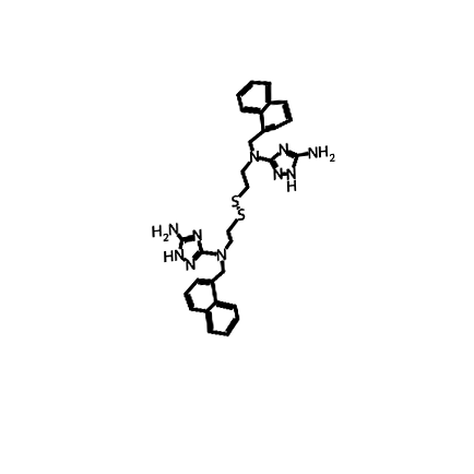 Nc1nc(N(CCSSCCN(Cc2cccc3ccccc23)c2n[nH]c(N)n2)Cc2cccc3ccccc23)n[nH]1